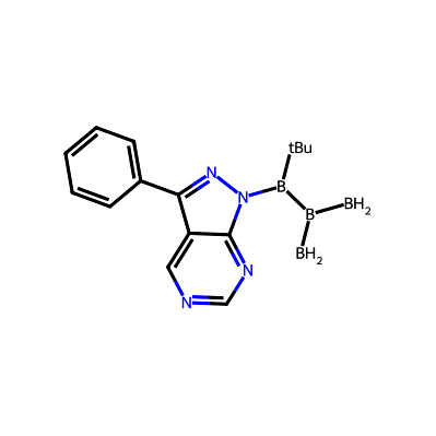 BB(B)B(n1nc(-c2ccccc2)c2cncnc21)C(C)(C)C